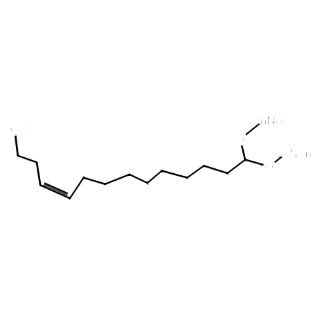 CCCCCCCCCOC(CCCCCCCC/C=C\CCO)OCCCCCCCCC